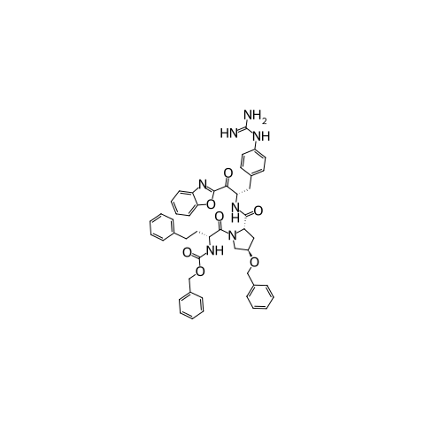 N=C(N)Nc1ccc(C[C@H](NC(=O)[C@@H]2C[C@@H](OCc3ccccc3)CN2C(=O)[C@@H](CCc2ccccc2)NC(=O)OCc2ccccc2)C(=O)c2nc3ccccc3o2)cc1